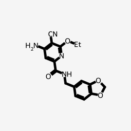 CCOc1nc(C(=O)NCc2ccc3c(c2)OCO3)cc(N)c1C#N